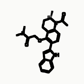 CC(=O)N1c2ccc(-c3cc4ccccc4[nH]3)c(OCC(=O)N(C)C)c2CC[C@@H]1C